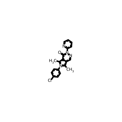 Cc1c2cnn(-c3ccccn3)c(=O)c2c(C)n1-c1ccc(Cl)cc1